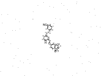 CS(=O)(=O)c1ccc(OC[C@@H]2CN(CCc3cccc(C#N)c3)CCN2)cc1C(F)(F)F